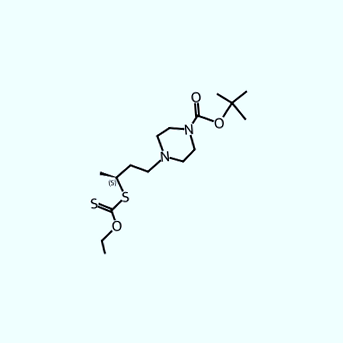 CCOC(=S)S[C@@H](C)CCN1CCN(C(=O)OC(C)(C)C)CC1